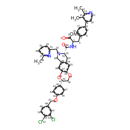 COC(=O)C(Cc1ccc(-c2ccnc(C)c2C)cc1)NC(=O)[C@@H]1Cc2cc3c(cc2CN1Cc1cccc(C)n1)O[C@@H](c1ccc(OCc2ccc(Cl)c(Cl)c2)cc1)CO3